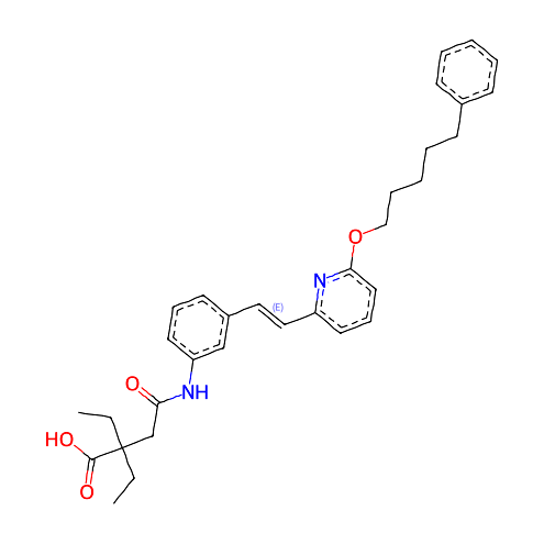 CCC(CC)(CC(=O)Nc1cccc(/C=C/c2cccc(OCCCCCc3ccccc3)n2)c1)C(=O)O